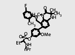 CCCNC(CC)S(=O)(=O)Oc1ccc(-c2ccc3c(c2COc2cc(F)ccc2C)N(C)C(=O)C(C)(C)N3)c(OC)c1